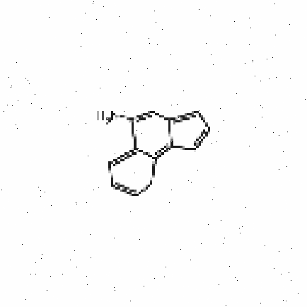 Nc1cc2c(c3c1=CC=CC3)C=CC=2